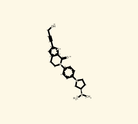 CN(C)[C@@H]1CCN(c2ccc(N3CCc4cc(C#CCO)sc4C3=O)cc2)C1